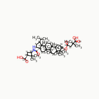 CC(C)[C@@H]1CC[C@]2(C(=O)N[C@@H]3C[C@H](C(=O)O)C3(C)C)CC[C@]3(C)C(CC[C@@H]4[C@@]5(C)CC[C@H](OC(=O)CC(C)(C)C(=O)O)C(C)(C)[C@@H]5CC[C@]43C)[C@@H]12